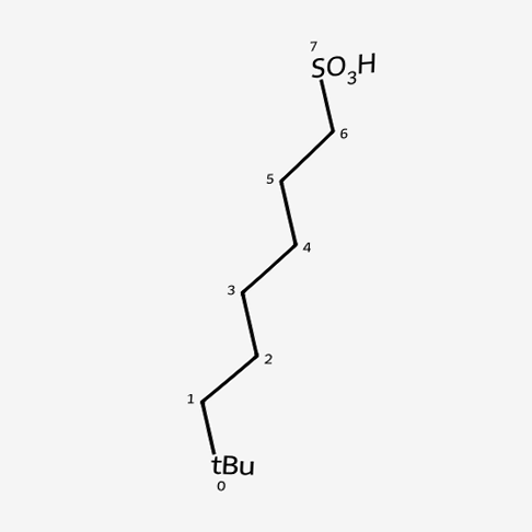 CC(C)(C)CCCCCCS(=O)(=O)O